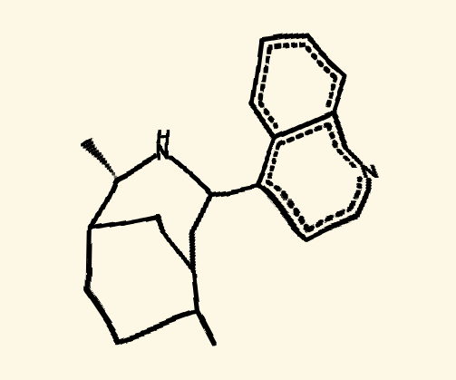 CC1CCC2CC1C(c1ccnc3ccccc13)N[C@H]2C